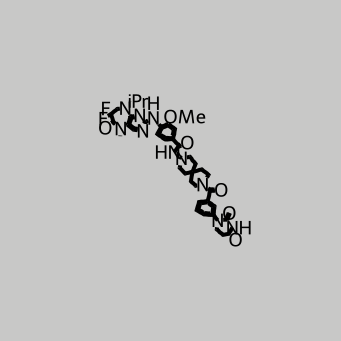 COc1cc(C(=O)NN2CCC3(CC2)CCN(C(=O)c2cccc(N4CCC(=O)NC4=O)c2)CC3)ccc1Nc1ncc2c(n1)N(C(C)C)CC(F)(F)C(=O)N2C